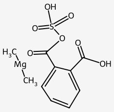 O=C(O)c1ccccc1C(=O)OS(=O)(=O)O.[CH3][Mg][CH3]